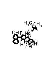 C[C@H]1N[C@H]2CC[C@@H]1N(c1nc(OCC3(CN(C)C)CC3)nc3c(F)c(-c4cc(O)cc5ccccc45)c(Cl)cc13)C2